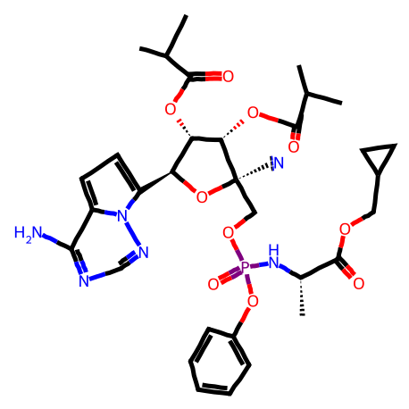 CC(C)C(=O)O[C@H]1[C@H](c2ccc3c(N)ncnn23)O[C@](C#N)(COP(=O)(N[C@@H](C)C(=O)OCC2CC2)Oc2ccccc2)[C@H]1OC(=O)C(C)C